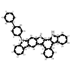 c1ccc(-c2ccc(-n3c4ccccc4c4cc5c(cc43)sc3c4[nH]c6ccccc6c4c4ccccc4c53)cc2)cc1